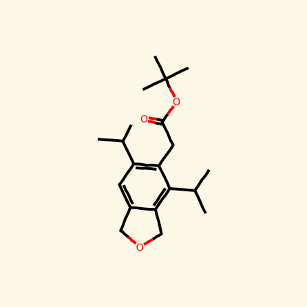 CC(C)c1cc2c(c(C(C)C)c1CC(=O)OC(C)(C)C)COC2